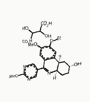 CCOc1cc2c(cc1OC)C(c1cnc(OC)nc1)=N[C@@H]1CC[C@@H](O)C[C@H]21.O=C(O)C(O)C(O)C(=O)O